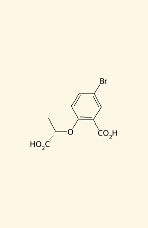 C[C@H](Oc1ccc(Br)cc1C(=O)O)C(=O)O